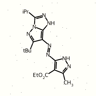 CCOC(=O)c1c(C)n[nH]c1N=Nc1c(C(C)(C)C)nn2c(C(C)C)n[nH]c12